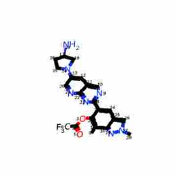 Cc1c(OC(=O)C(F)(F)F)c(-c2ncc3cc(N4CC[C@@H](N)C4)cnc3n2)cc2cn(C)nc12